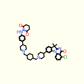 CC1(C)c2ccc(C3CCN(CC4CCC(CN5CCC(c6ccc(NN7C(=O)CCCC7=O)cc6)CC5)CC4)CC3)cc2-n2c1nc(=O)c1c(Cl)cccc12